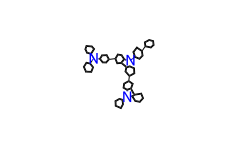 c1ccc(-c2ccc(-n3c4ccc(-c5ccc(N(c6ccccc6)c6ccccc6)cc5)cc4c4cc(-c5ccc6c(c5)c5ccccc5n6-c5ccccc5)ccc43)cc2)cc1